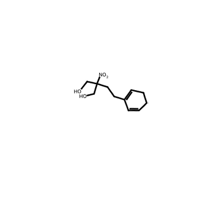 O=[N+]([O-])C(CO)(CO)CCC1=CC[CH]C=C1